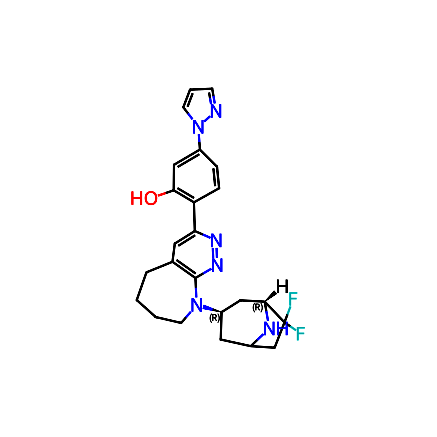 Oc1cc(-n2cccn2)ccc1-c1cc2c(nn1)N([C@@H]1CC3CC(F)(F)[C@@H](C1)N3)CCCC2